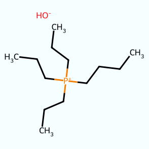 CCCC[P+](CCC)(CCC)CCC.[OH-]